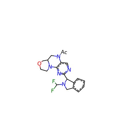 CC(=O)N1CC2COCCN2c2nc(C3c4ccccc4CN3C(F)F)ncc21